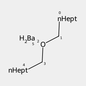 CCCCCCCCOCCCCCCCC.[BaH2]